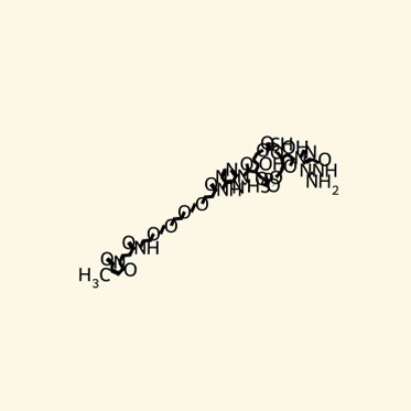 CC1=CC(=O)N(CCC(=O)NCCOCCOCCOCCOCCC(=O)Nc2ncnc3c2ncn3C2OC3COP(=O)(S)OC4C(COP(=O)(S)OC2C3O)OC(n2cnc3c(=O)[nH]c(N)nc32)C4O)C1=O